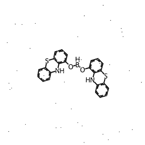 B(Oc1cccc2c1Nc1ccccc1S2)Oc1cccc2c1Nc1ccccc1S2